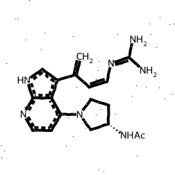 C=C(/C=C\N=C(N)N)c1c[nH]c2nccc(N3CC[C@H](NC(C)=O)C3)c12